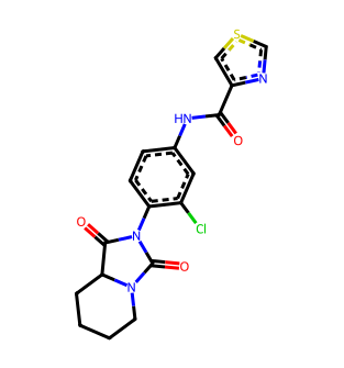 O=C(Nc1ccc(N2C(=O)C3CCCCN3C2=O)c(Cl)c1)c1cscn1